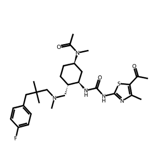 CC(=O)c1sc(NC(=O)N[C@@H]2C[C@H](N(C)C(C)=O)CC[C@H]2CN(C)CC(C)(C)Cc2ccc(F)cc2)nc1C